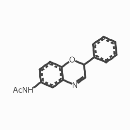 CC(=O)Nc1ccc2c(c1)N=CC(c1ccccc1)O2